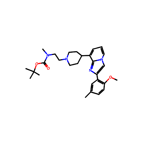 COc1ccc(C)cc1-c1cn2cccc(C3CCN(CCN(C)C(=O)OC(C)(C)C)CC3)c2n1